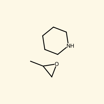 C1CCNCC1.CC1CO1